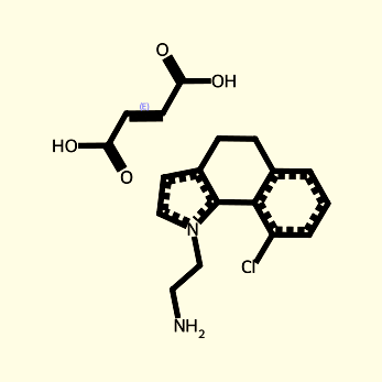 NCCn1ccc2c1-c1c(Cl)cccc1CC2.O=C(O)/C=C/C(=O)O